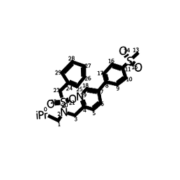 CC(C)CN(Cc1ccc(-c2ccc(S(C)(=O)=O)cc2)cn1)S(=O)(=O)Cc1ccccc1